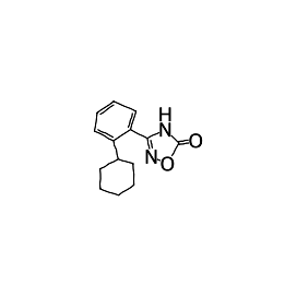 O=c1[nH]c(-c2ccccc2C2CCCCC2)no1